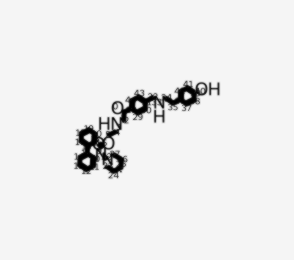 O=C(CNCCOC(=O)N(c1ccccc1-c1ccccc1)N1CC[CH]CC1)c1ccc(CNCCc2ccc(O)cc2)cc1